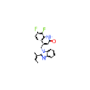 C/C=C(/C)c1nc2ccccc2n1Cc1cc(=O)[nH]c2c(F)c(F)ccc12